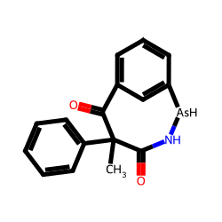 CC1(c2ccccc2)C(=O)N[AsH]c2c[c]cc(c2)C1=O